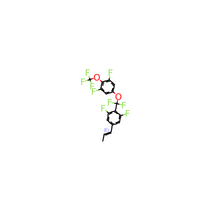 C/C=C/c1cc(F)c(C(F)(F)Oc2cc(F)c(OC(F)(F)F)c(F)c2)c(F)c1